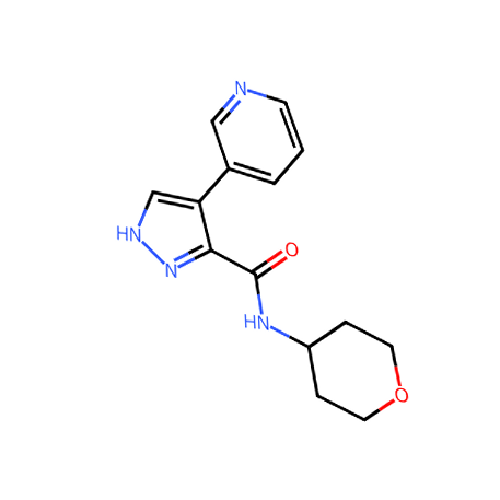 O=C(NC1CCOCC1)c1n[nH]cc1-c1cccnc1